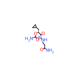 NC(=O)CCNNC(=O)[C@H](CC1CC1)OC(N)=O